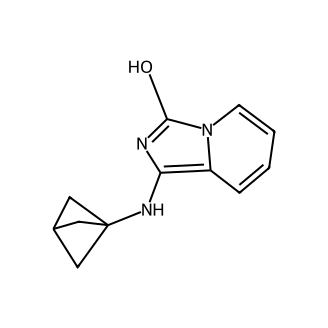 Oc1nc(NC23CC(C2)C3)c2ccccn12